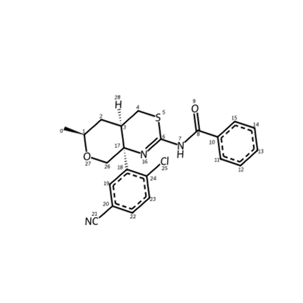 C[C@H]1C[C@H]2CSC(NC(=O)c3ccccc3)=N[C@@]2(c2cc(C#N)ccc2Cl)CO1